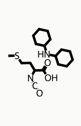 C1CCC(NC2CCCCC2)CC1.CSCCC(N=C=O)C(=O)O